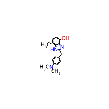 Cc1ccc(O)c2nc(Cc3ccc(N(C)C)cc3)[nH]c12